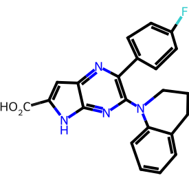 O=C(O)c1cc2nc(-c3ccc(F)cc3)c(N3CCCc4ccccc43)nc2[nH]1